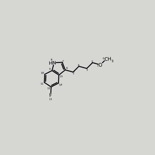 COCCC[CH]c1c[nH]c2ccc(F)cc12